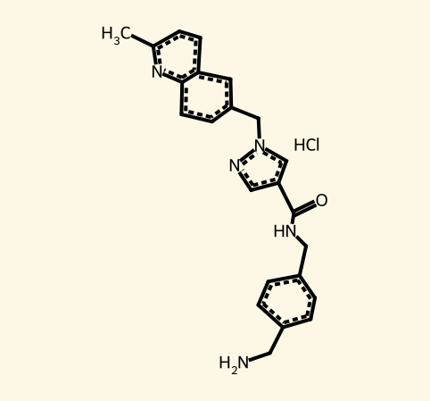 Cc1ccc2cc(Cn3cc(C(=O)NCc4ccc(CN)cc4)cn3)ccc2n1.Cl